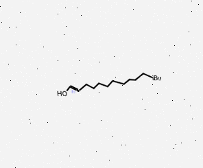 CCC(C)CCCCCCCCC/C=C/O